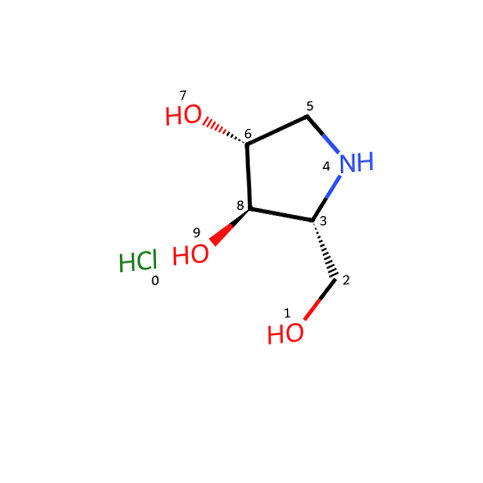 Cl.OC[C@H]1NC[C@@H](O)[C@@H]1O